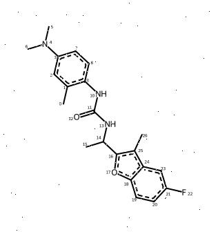 Cc1cc(N(C)C)ccc1NC(=O)NC(C)c1oc2ccc(F)cc2c1C